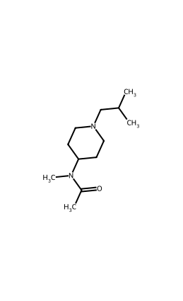 CC(=O)N(C)C1CCN(CC(C)C)CC1